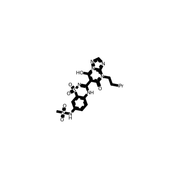 CC(C)CCn1c(=O)c(C2=NS(=O)(=O)c3cc(NS(C)(=O)=O)ccc3N2)c(O)n2ncnc12